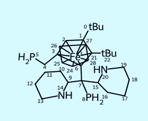 CC(C)(C)[C]12[CH]3[C]4(CP)[C]5(C(P)(C6CCCCN6)C6CCCCN6)[C]1(C(C)(C)C)[Fe]34251678[CH]2[CH]1[CH]6[CH]7[CH]28